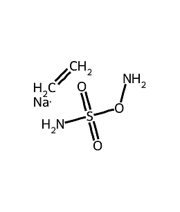 C=C.NOS(N)(=O)=O.[Na]